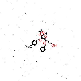 COc1ccc(CO[C@@H]2C3OC(C)(C)O[C@H]3O[C@@H]2[C@@H](CCCO)OCc2ccccc2)cc1